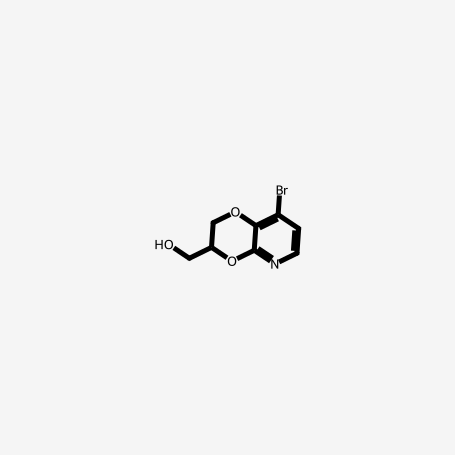 OCC1COc2c(Br)ccnc2O1